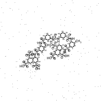 Cc1ccc(S(=O)(=O)Nc2ccc(S(=O)(=O)O)c3cc(S(=O)(=O)O)cc(S(=O)(=O)O)c23)cc1NS(=O)(=O)c1cccc(NC(=O)Nc2cccc(S(=O)(=O)Nc3cc(S(=O)(=O)Nc4ccc(S(=O)(=O)O)c5cc(S(=O)(=O)O)cc(S(=O)(=O)O)c45)ccc3C)c2)c1